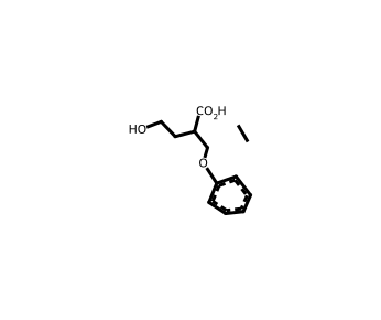 CC.O=C(O)C(CCO)COc1ccccc1